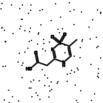 CC1=CNC(CC(=O)O)=NS1(=O)=O